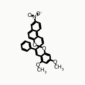 COc1cc(OC)c2c(c1)OC1(C=Cc3c(ccc4cc([N+](=O)[O-])ccc34)O1)C(c1ccccc1)=C2